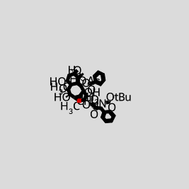 CC(=O)O[C@@]12CO[C@@H]1C[C@H](O)[C@@]1(C)C(=O)[C@H](O)C3=C(C)[C@@H](OC(=O)C(=O)[C@@H](NC(=O)OC(C)(C)C)c4ccccc4)C[C@@](O)([C@@H](OC(=O)c4ccccc4)[C@H]21)C3(C)C